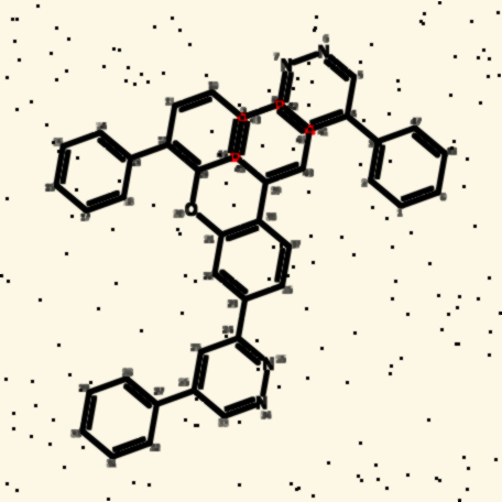 c1ccc(-c2cnnc(-c3ccc(-c4ccccc4)c(Oc4cc(-c5cc(-c6ccccc6)cnn5)ccc4-c4ccccc4)c3)c2)cc1